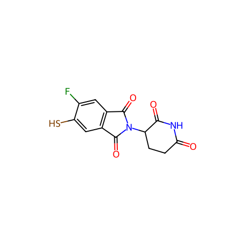 O=C1CCC(N2C(=O)c3cc(F)c(S)cc3C2=O)C(=O)N1